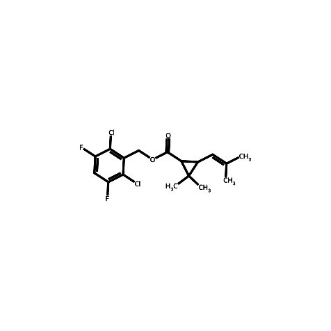 CC(C)=CC1C(C(=O)OCc2c(Cl)c(F)cc(F)c2Cl)C1(C)C